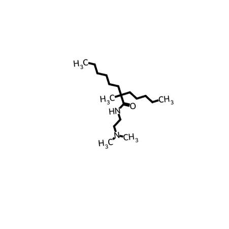 CCCCCCC(C)(CCCCC)C(=O)NCCN(C)C